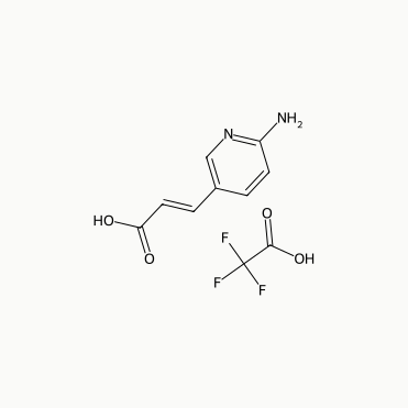 Nc1ccc(/C=C/C(=O)O)cn1.O=C(O)C(F)(F)F